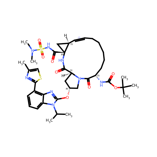 Cc1csc(-c2cccc3c2nc(O[C@@H]2C[C@H]4C(=O)N[C@]5(C(=O)NS(=O)(=O)N(C)C)C[C@H]5/C=C\CCCCC[C@H](NC(=O)OC(C)(C)C)C(=O)N4C2)n3C(C)C)n1